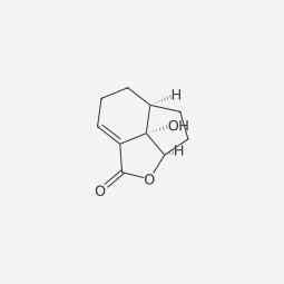 O=C1O[C@@H]2CC[C@@H]3CCC=C1[C@@]32O